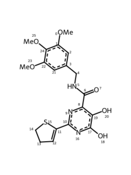 COc1cc(CNC(=O)c2nc(C3=CCCS3)nc(O)c2O)cc(OC)c1OC